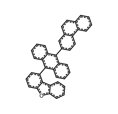 c1ccc2c(c1)ccc1cc(-c3c4ccccc4c(-c4cccc5oc6ccccc6c45)c4ccccc34)ccc12